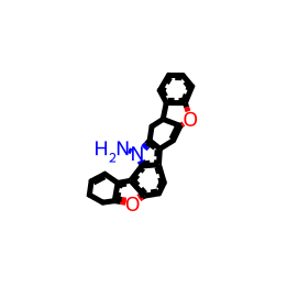 Nn1c2c(c3ccc4oc5c(c4c31)C=CCC5)C=C1Oc3ccccc3C1C2